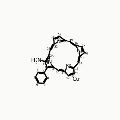 Nc1c(-c2ccccc2)c2cc3nc(cc4ccc(cc5nc(cc1[nH]2)C=C5)[nH]4)C=C3.[Cu]